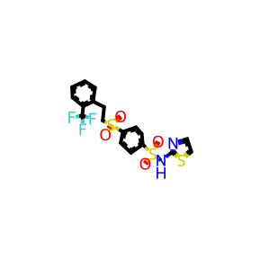 O=S(=O)(CCc1ccccc1C(F)(F)F)c1ccc(S(=O)(=O)Nc2nccs2)cc1